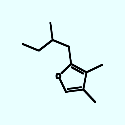 CCC(C)Cc1occ(C)c1C